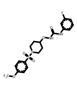 O=C(NOC1CCN(S(=O)(=O)c2ccc(OC(F)(F)F)cc2)CC1)Nc1cccc(F)c1